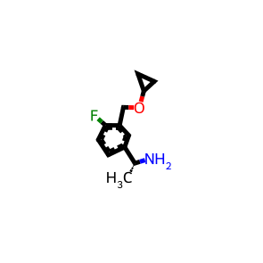 C[C@@H](N)c1ccc(F)c(COC2CC2)c1